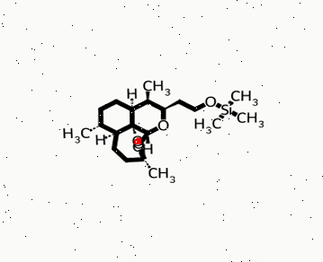 C[C@H]1[C@@H](CCO[Si](C)(C)C)O[C@@H]2O[C@]3(C)CC[C@H]4[C@H](C)CC[C@@H]1[C@@]24OO3